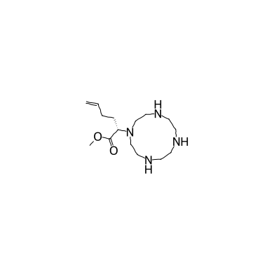 C=CCC[C@@H](C(=O)OC)N1CCNCCNCCNCC1